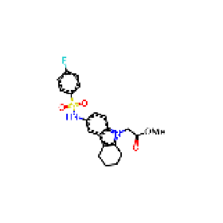 COC(=O)Cn1c2c(c3cc(NS(=O)(=O)c4ccc(F)cc4)ccc31)CCCC2